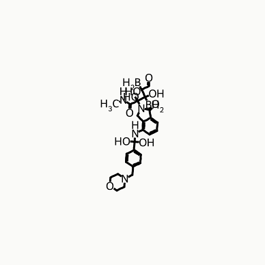 BC(O)(C=O)C(B)(O)C(O)(C(=O)NC)N1Cc2c(NC(O)(O)c3ccc(CN4CCOCC4)cc3)cccc2C1=O